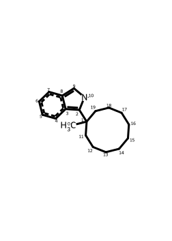 CC1(C2=c3ccccc3=C[N]2)CCCCCCCCC1